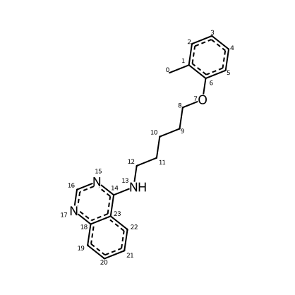 Cc1ccccc1OCCCCCNc1ncnc2ccccc12